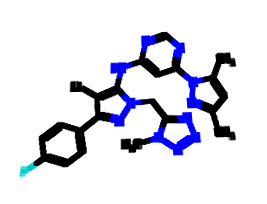 CCc1c(-c2ccc(F)cc2)nn(Cc2nnnn2C)c1Nc1cc(-n2nc(C)cc2C)ncn1